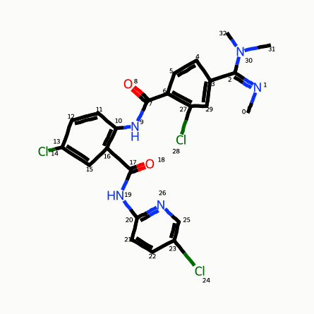 C/N=C(\c1ccc(C(=O)Nc2ccc(Cl)cc2C(=O)Nc2ccc(Cl)cn2)c(Cl)c1)N(C)C